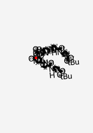 CC(C)(C)OC(=O)N1CC[C@H](NC(=O)c2ccn(C3=CC4CN(C3)C(=O)N4OS(=O)(=O)ON3C(=O)N4CC(n5ccc(C(=O)N[C@H]6CCN(C(=O)OC(C)(C)C)C6)n5)=CC3C4)n2)C1